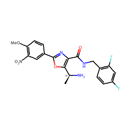 COc1ccc(-c2nc(C(=O)NCc3ccc(F)cc3F)c([C@H](C)N)o2)cc1[N+](=O)[O-]